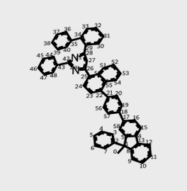 CC1(c2ccccc2)c2ccccc2-c2ccc(-c3ccc(-c4ccc(-c5cc(-c6ccccc6-c6ccccc6)nc(-c6ccccc6)n5)c5ccccc45)cc3)cc21